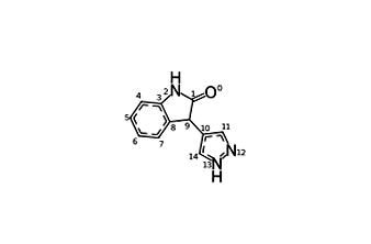 O=C1Nc2ccccc2C1c1cn[nH]c1